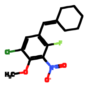 COc1c(Cl)cc(C=C2CCCCC2)c(F)c1[N+](=O)[O-]